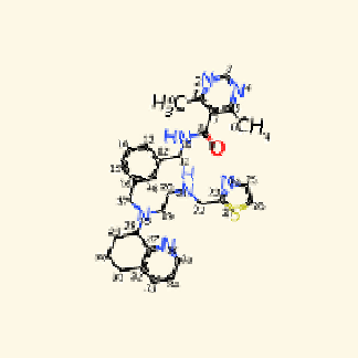 Cc1ncnc(C)c1C(=O)NCc1cccc(CN(CCNCc2nccs2)C2CCCc3cccnc32)c1